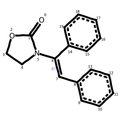 O=C1OCCN1/C(=C/c1ccccc1)c1ccccc1